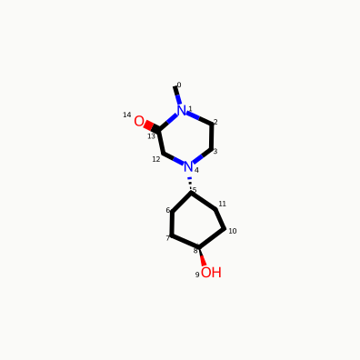 CN1CCN([C@H]2CC[C@H](O)CC2)CC1=O